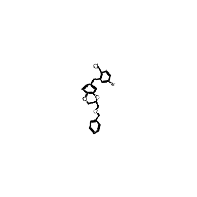 Clc1ccc(Br)cc1Cc1ccc2c(c1)OC(COCc1ccccc1)CO2